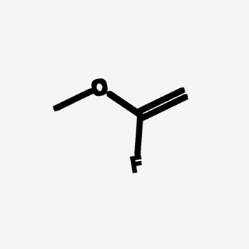 C=C(F)OC